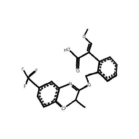 COC=C(C(=O)O)c1ccccc1COC1=Nc2cc(C(F)(F)F)ccc2OC1C